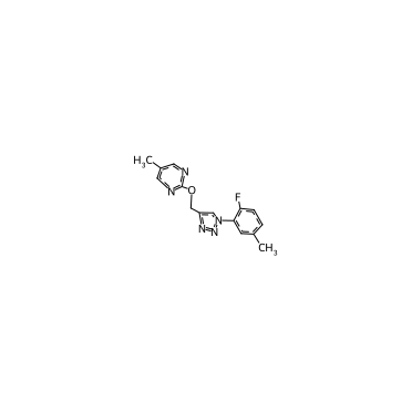 Cc1cnc(OCc2cn(-c3cc(C)ccc3F)nn2)nc1